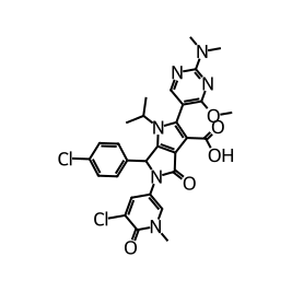 COc1nc(N(C)C)ncc1-c1c(C(=O)O)c2c(n1C(C)C)C(c1ccc(Cl)cc1)N(c1cc(Cl)c(=O)n(C)c1)C2=O